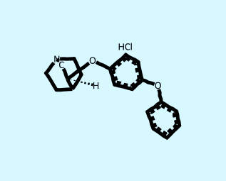 Cl.c1ccc(Oc2ccc(O[C@@H]3CN4CCC3CC4)cc2)cc1